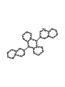 c1ccc2cc(-c3c4ccccc4c(-c4cnc5ccccc5c4)c4ccccc34)ccc2c1